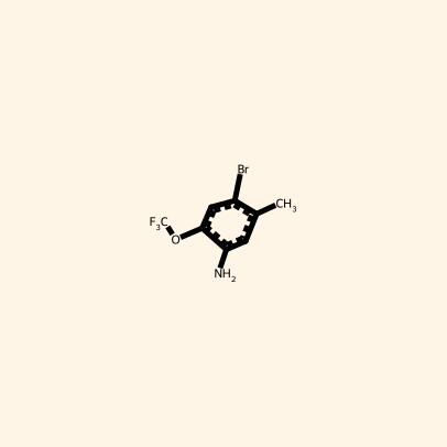 Cc1cc(N)c(OC(F)(F)F)cc1Br